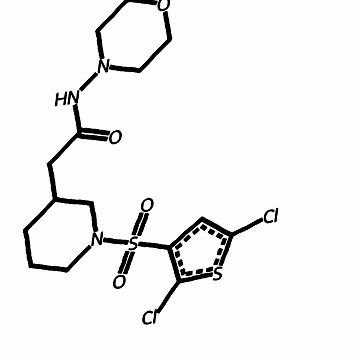 O=C(CC1CCCN(S(=O)(=O)c2cc(Cl)sc2Cl)C1)NN1CCOCC1